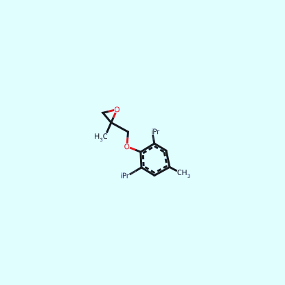 Cc1cc(C(C)C)c(OCC2(C)CO2)c(C(C)C)c1